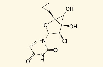 O=c1ccn([C@@H]2O[C@]3(C4CC4)C(O)[C@]3(O)[C@H]2Cl)c(=O)[nH]1